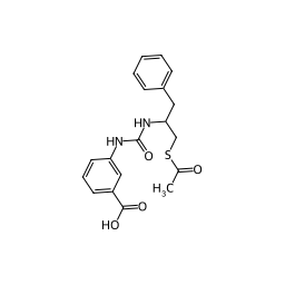 CC(=O)SCC(Cc1ccccc1)NC(=O)Nc1cccc(C(=O)O)c1